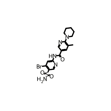 Cc1cc(C(=O)Nc2cc(Br)c(S(N)(=O)=O)cn2)cnc1N1CCCCC1